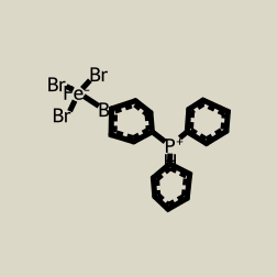 [Br][Fe-]([Br])([Br])[Br].c1ccc([PH+](c2ccccc2)c2ccccc2)cc1